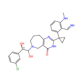 CNc1cccc(C2(c3nc4c(c(=O)[nH]3)CN(C(O)[C@H](O)c3cccc(Cl)c3)CCC4)CC2)c1C=N